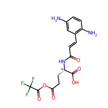 Nc1ccc(N)c(C=CC(=O)N[C@@H](CCC(=O)OC(=O)C(F)(F)F)C(=O)O)c1